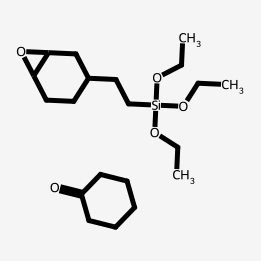 CCO[Si](CCC1CCC2OC2C1)(OCC)OCC.O=C1CCCCC1